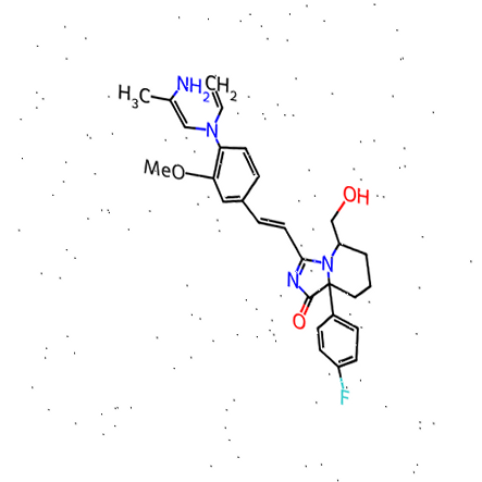 C=CN(/C=C(/C)N)c1ccc(/C=C/C2=NC(=O)C3(c4ccc(F)cc4)CCCC(CO)N23)cc1OC